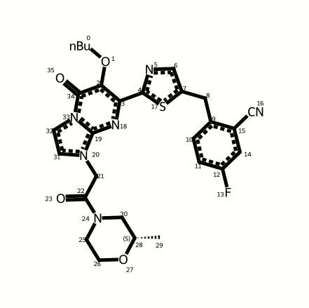 CCCCOc1c(-c2ncc(Cc3ccc(F)cc3C#N)s2)nc2n(CC(=O)N3CCO[C@@H](C)C3)ccn2c1=O